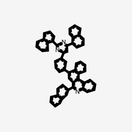 c1cc(-c2cc(-c3cccc4ccccc34)nc(-c3cccc4ccccc34)n2)cc(-c2cc3c(-c4ccc5ccccc5c4)nc4ccccc4c3c3ccccc23)c1